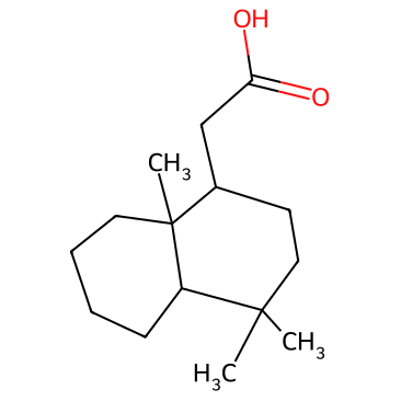 CC1(C)CCC(CC(=O)O)C2(C)CCCCC12